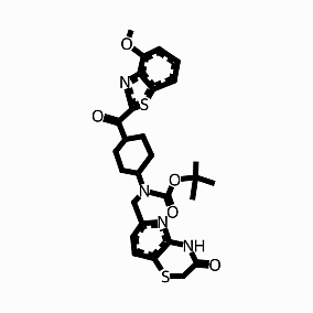 COc1cccc2sc(C(=O)C3CCC(N(Cc4ccc5c(n4)NC(=O)CS5)C(=O)OC(C)(C)C)CC3)nc12